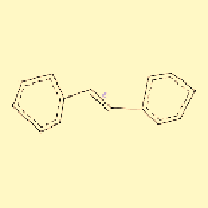 [c]1c[c]cc(/C=C/c2ccccc2)c1